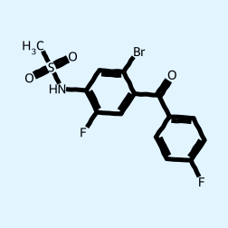 CS(=O)(=O)Nc1cc(Br)c(C(=O)c2ccc(F)cc2)cc1F